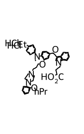 CCCOc1ccccc1N1CCN(CCCOc2cc(C(=O)c3cn(CCCC(=O)O)c4ccccc34)ccc2N(C)c2ccc(CC)cc2)CC1.Cl.Cl